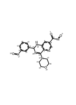 O=NC(=O)c1cnc2c(c1)NC(c1cccc(N=O)c1)N=C2N1CCOCC1